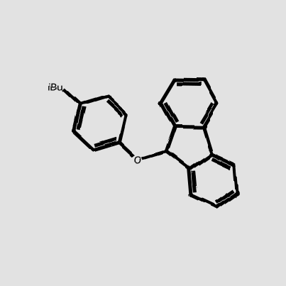 CCC(C)c1ccc(OC2c3ccccc3-c3ccccc32)cc1